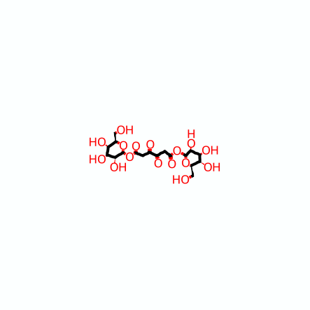 O=C(CC(=O)C(=O)CC(=O)OC1O[C@H](CO)[C@@H](O)[C@H](O)[C@H]1O)OC1O[C@H](CO)[C@@H](O)[C@H](O)[C@H]1O